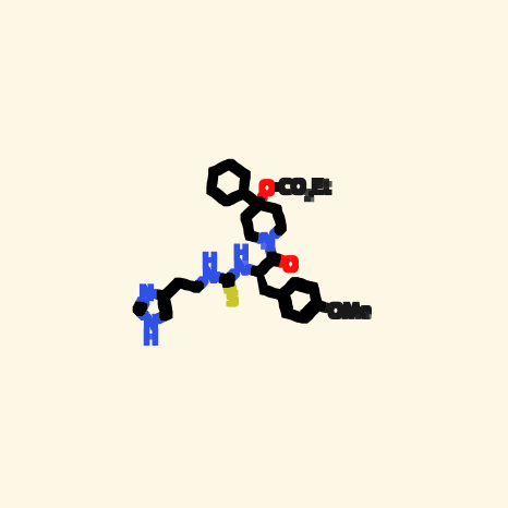 CCOC(=O)OC1(C2CCCCC2)CCN(C(=O)[C@@H](Cc2ccc(OC)cc2)NC(=S)NCCc2c[nH]cn2)CC1